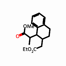 CCOC(=O)CC1CCc2ccccc2C1C(C)C(=O)OC